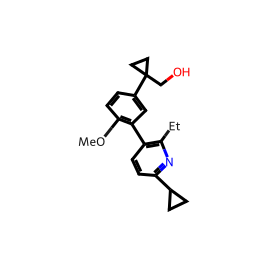 CCc1nc(C2CC2)ccc1-c1cc(C2(CO)CC2)ccc1OC